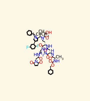 C[C@H](NC(=O)OCc1ccccc1)C(=O)N[C@@H](CC(=O)N[C@@H](CCN(C(=O)CO)[C@@H](c1cc(-c2cc(F)ccc2F)cn1Cc1ccccc1)C(C)(C)C)C(=O)NCCNC(=O)CN1C(=O)C=CC1=O)C(N)=O